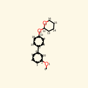 COc1cccc(-c2ccc(OC3CCCCO3)cc2)c1